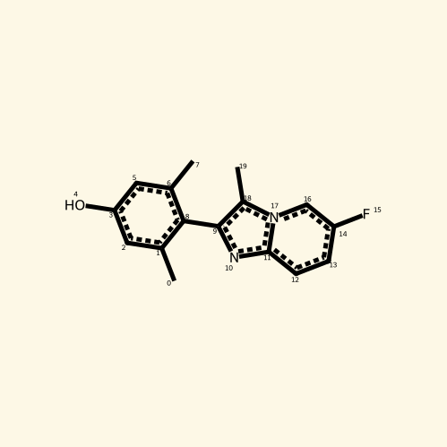 Cc1cc(O)cc(C)c1-c1nc2ccc(F)cn2c1C